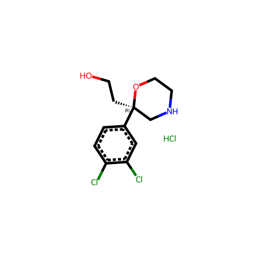 Cl.OCC[C@@]1(c2ccc(Cl)c(Cl)c2)CNCCO1